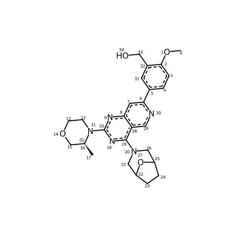 COc1ccc(-c2cc3nc(N4CCOC[C@@H]4C)nc(N4CC5CCC(C4)O5)c3cn2)cc1CO